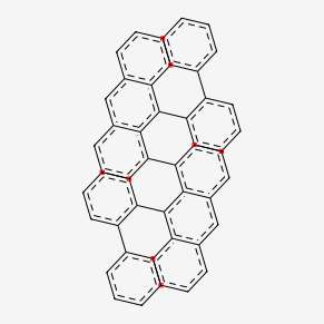 c1ccc(-c2ccccc2-c2c3ccccc3cc3cccc(-c4cccc5cc6ccccc6c(-c6ccccc6-c6ccccc6)c45)c23)cc1